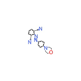 N#Cc1cccc(C#N)c1N=Nc1ccc(N2CCOCC2)cc1